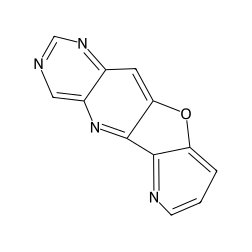 c1cnc2c(c1)oc1cc3ncncc3nc12